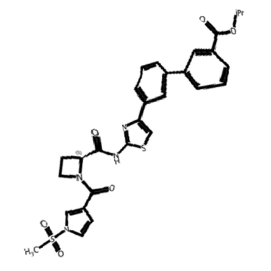 CC(C)OC(=O)c1cccc(-c2cccc(-c3csc(NC(=O)[C@@H]4CCN4C(=O)c4ccn(S(C)(=O)=O)c4)n3)c2)c1